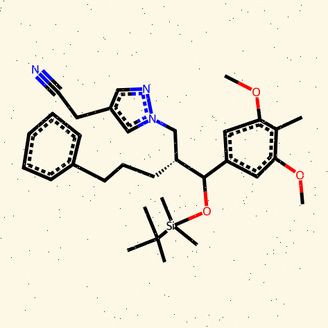 COc1cc(C(O[Si](C)(C)C(C)(C)C)[C@H](CCCc2ccccc2)Cn2cc(CC#N)cn2)cc(OC)c1C